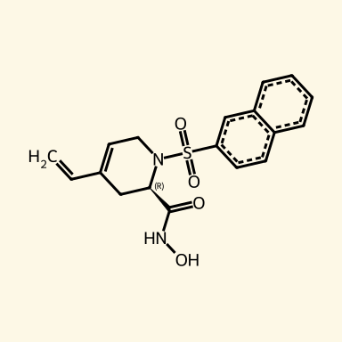 C=CC1=CCN(S(=O)(=O)c2ccc3ccccc3c2)[C@@H](C(=O)NO)C1